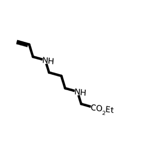 C=CCNCCCNCC(=O)OCC